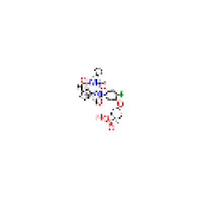 COc1cc(F)c(O[C@H]2CC[C@@](C)(C(=O)O)CC2)cc1C(=O)N[C@@H]1[C@H]2CC[C@H](C2)[C@@H]1C(=O)NCC1(C)CCC1